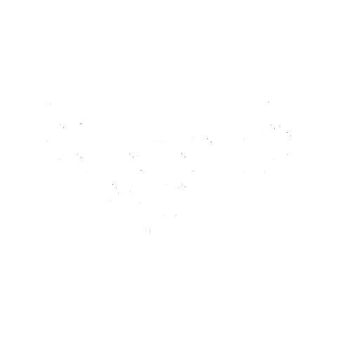 C=CC(=O)Nc1cc(Nc2cc(-c3ccc4cnn(C)c4c3)ncn2)c(OC)cc1N(C)CCN1CCN(C)CC1